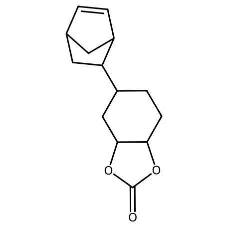 O=C1OC2CCC(C3CC4C=CC3C4)CC2O1